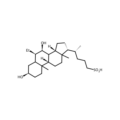 CC[C@@H]1C2C[C@H](O)CCC2(C)[C@H]2CCC3(C)[C@@H]([C@H](C)CCCS(=O)(=O)O)CC[C@H]3C2[C@@H]1O